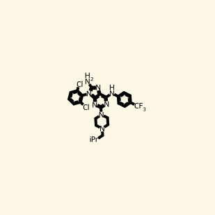 CC(C)CN1CCN(c2nc(Nc3ccc(C(F)(F)F)cc3)c3nc(N)n(-c4c(Cl)cccc4Cl)c3n2)CC1